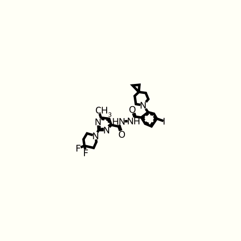 Cc1cc(C(=O)NNC(=O)c2ccc(I)cc2N2CCC3(CC2)CC3)nc(N2CCC(F)(F)CC2)n1